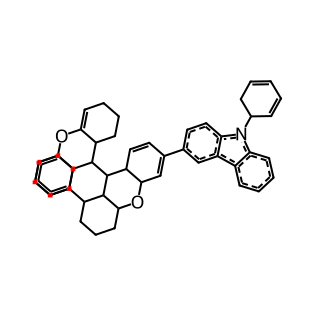 C1=CCC(C2CCCC3OC4C=C(c5ccc6c(c5)c5ccccc5n6C5C=CC=CC5)C=CC4C(C4C5CCCC=C5OC5C=CC=CC54)C32)C=C1